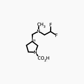 CN(CC(F)F)C[C@@H]1CCN(C(=O)O)C1